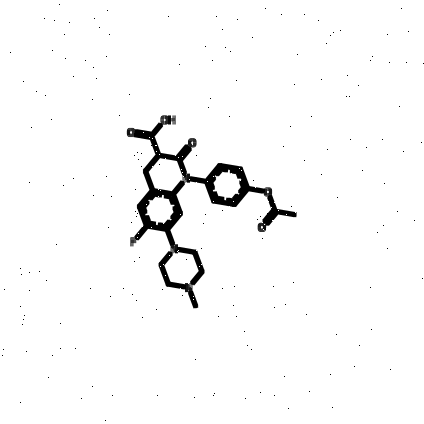 CC(=O)Oc1ccc(N2C(=O)C(C(=O)O)Cc3cc(F)c(N4CCN(C)CC4)cc32)cc1